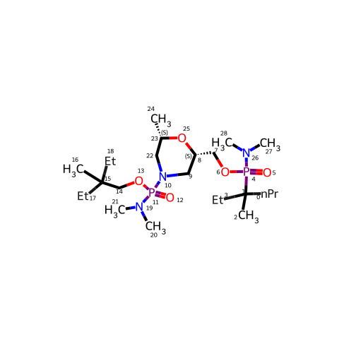 CCCC(C)(CC)P(=O)(OC[C@@H]1CN(P(=O)(OCC(C)(CC)CC)N(C)C)C[C@H](C)O1)N(C)C